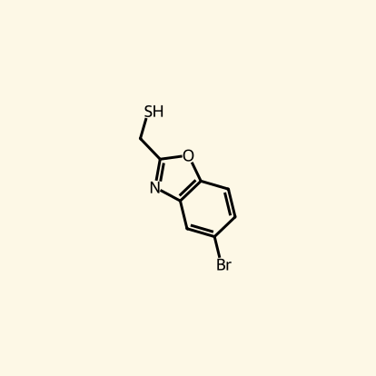 SCc1nc2cc(Br)ccc2o1